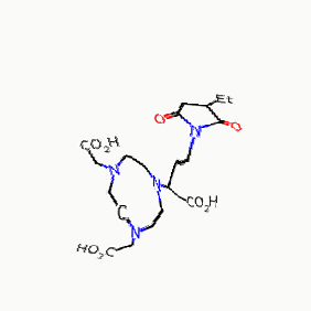 CCC1CC(=O)N(CCC(C(=O)O)N2CCN(CC(=O)O)CCN(CC(=O)O)CC2)C1=O